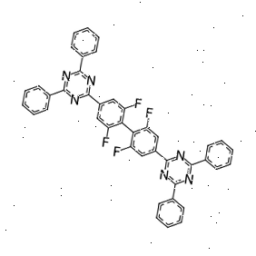 Fc1cc(-c2nc(-c3ccccc3)nc(-c3ccccc3)n2)cc(F)c1-c1c(F)cc(-c2nc(-c3ccccc3)nc(-c3ccccc3)n2)cc1F